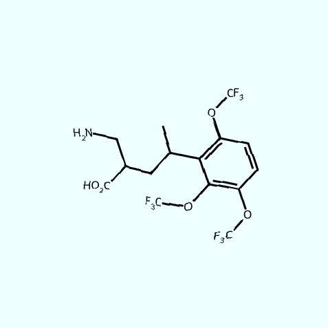 CC(CC(CN)C(=O)O)c1c(OC(F)(F)F)ccc(OC(F)(F)F)c1OC(F)(F)F